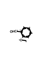 C[O].O=Cc1ccccc1